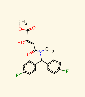 COC(=O)C(O)=CC(=O)N(C)C(c1ccc(F)cc1)c1ccc(F)cc1